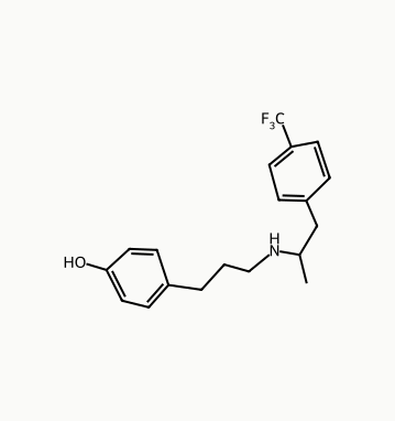 CC(Cc1ccc(C(F)(F)F)cc1)NCCCc1ccc(O)cc1